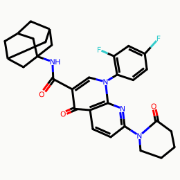 O=C(NC12CC3CC(CC(C3)C1)C2)c1cn(-c2ccc(F)cc2F)c2nc(N3CCCCC3=O)ccc2c1=O